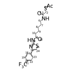 CC(=O)SCC(=O)NCCCCCC(=O)Nc1nc(-c2ccc(C(F)(F)F)cc2)cs1